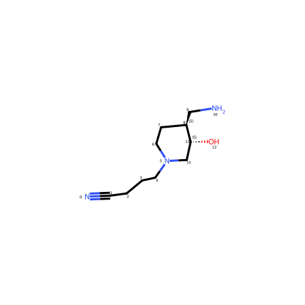 N#CCCCN1CC[C@@H](CN)[C@H](O)C1